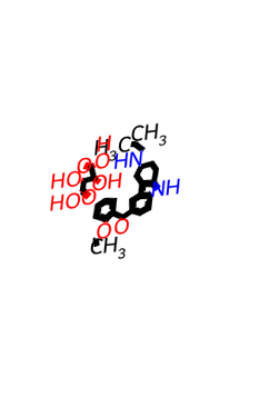 CCOc1ccccc1C(=O)c1ccc2[nH]c3c(c2c1)CC(NCC(C)C)CC3.O=C(O)C(O)C(O)C(=O)O